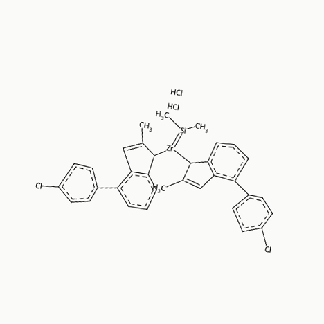 CC1=Cc2c(-c3ccc(Cl)cc3)cccc2[CH]1[Zr]([CH]1C(C)=Cc2c(-c3ccc(Cl)cc3)cccc21)=[Si](C)C.Cl.Cl